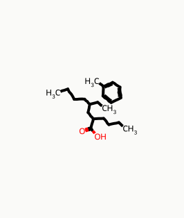 CCCCC(CC)CC(CCCC)C(=O)O.Cc1ccccc1